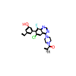 [2H]C(=C)C(=O)N1CCN(c2ncnc3c(F)c(-c4cc(O)cc(C=C)c4)c(Cl)cc23)CC1